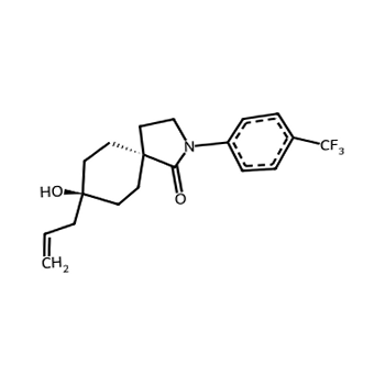 C=CC[C@]1(O)CC[C@@]2(CCN(c3ccc(C(F)(F)F)cc3)C2=O)CC1